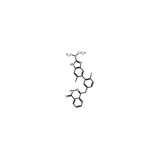 CN(C(=O)O)c1nc2cc(-c3cc(Cc4n[nH]c(=O)c5ccccc45)ccc3F)c(F)cc2[nH]1